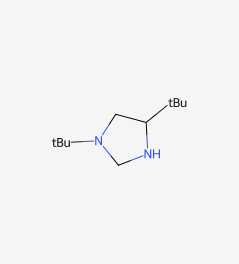 CC(C)(C)C1CN(C(C)(C)C)CN1